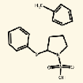 Cc1ccccc1.O=S(=O)(O)N1CCCC1Sc1ccccc1